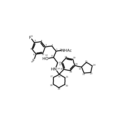 CC(=O)NC(Cc1cc(F)cc(F)c1)C(O)CNC1(c2cccc(C3CCCC3)c2)CCCCC1